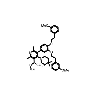 COc1cccc(CCOc2ccc(-c3c(C)nc(C)c([C@H](OC(C)(C)C)C(=O)O)c3N3CCC(C)(C)CC3)cc2OCCc2cccc(OC)c2)c1